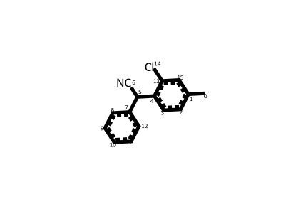 Cc1ccc(C(C#N)c2ccccc2)c(Cl)c1